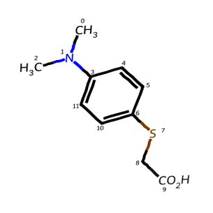 CN(C)c1ccc(SCC(=O)O)cc1